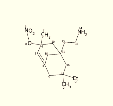 CCC1(C)CC2=CC(C)(O[N+](=O)[O-])CC(CCN)(C2)C1